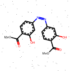 COC(=O)c1ccc(/N=N\c2ccc(C(=O)OC)c(O)c2)cc1O